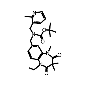 CCN1C(=O)C(C)(C)C(=O)N(C)c2cc(CN(Cc3cccnc3C)C(=O)OC(C)(C)C)ccc21